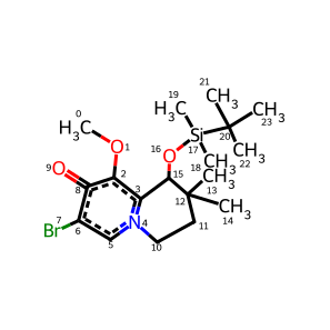 COc1c2n(cc(Br)c1=O)CCC(C)(C)C2O[Si](C)(C)C(C)(C)C